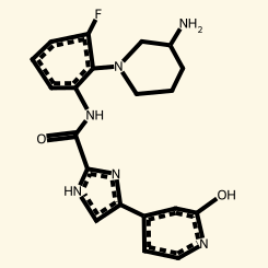 NC1CCCN(c2c(F)cccc2NC(=O)c2nc(-c3ccnc(O)c3)c[nH]2)C1